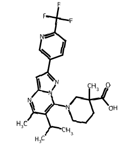 Cc1nc2cc(-c3ccc(C(F)(F)F)nc3)nn2c(N2CCCC(C)(C(=O)O)C2)c1C(C)C